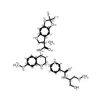 COCC(CO)NC(=O)c1ccc([C@H]2C[C@@H](NC(=O)[C@@]3(C)COc4cc5c(cc43)OC(F)(F)O5)c3ccc(OC)cc3O2)nc1